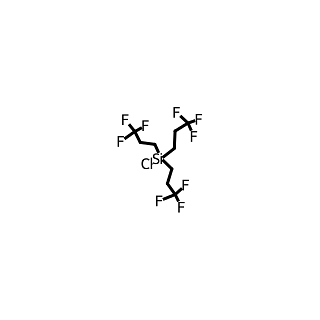 FC(F)(F)CC[Si](Cl)(CCC(F)(F)F)CCC(F)(F)F